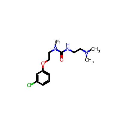 CC(C)N(CCOc1cccc(Cl)c1)C(=O)NCCN(C)C